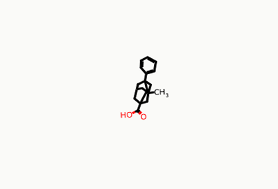 CC12CC3CC(C(=O)O)(C1)CC(c1ccccc1)(C3)C2